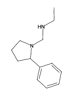 CCNCN1CCCC1c1ccccc1